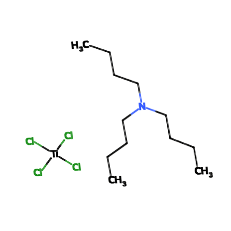 CCCCN(CCCC)CCCC.[Cl][Ti]([Cl])([Cl])[Cl]